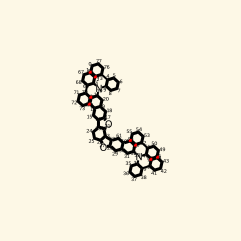 c1ccc(-c2ccccc2N(c2ccc3cc4c(cc3c2)oc2c4ccc3oc4cc5cc(N(c6ccccc6-c6ccccc6)c6ccccc6-c6ccccc6)ccc5cc4c32)c2ccccc2-c2ccccc2)cc1